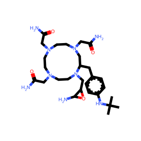 CC(C)(C)Nc1ccc(CC2CN(CC(N)=O)CCN(CC(N)=O)CCN(CC(N)=O)CCN2CC2OC2N)cc1